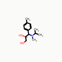 Cc1ccc(C([C@H](O)CO)N(C)C(C)C)cc1